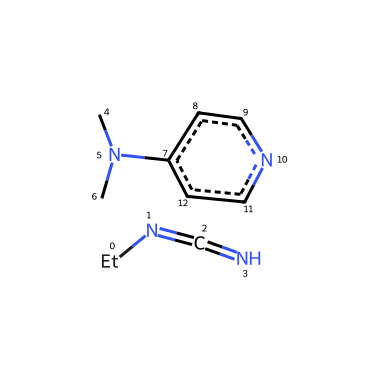 CCN=C=N.CN(C)c1ccncc1